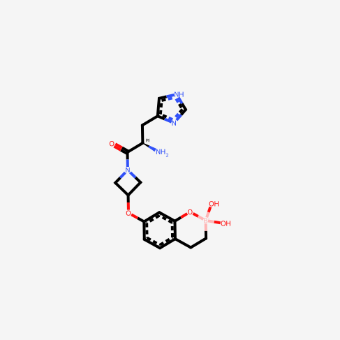 N[C@H](Cc1c[nH]cn1)C(=O)N1CC(Oc2ccc3c(c2)O[B-](O)(O)CC3)C1